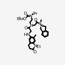 CCN1C(=O)CCc2cc(NCC(=O)N(CCN(C(=O)OC(C)(C)C)C(C)C)CC(=O)N(C)N3Cc4ccccc4C3)c(C)cc21